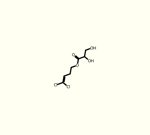 O=C(OCCC=C(Cl)Cl)C(O)CO